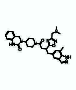 Cc1cc(CC(CC(=O)N2CCC(N3Cc4ccccc4NC3=O)CC2)c2nc(CN(C)C)no2)cc2cn[nH]c12